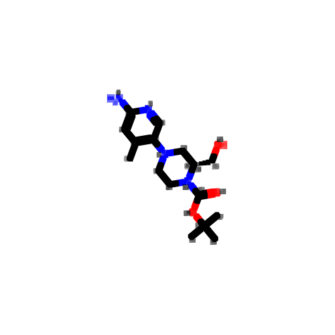 Cc1cc(N)ncc1N1CCN(C(=O)OC(C)(C)C)[C@@H](CO)C1